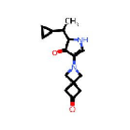 CC(C1CC1)C1NC=C(N2CC3(CC(=O)C3)C2)C1=O